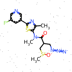 Cc1nc(-c2cncc(F)c2)sc1N(C)C(=O)C(CN=[N+]=[N-])C[S+](C)[O-]